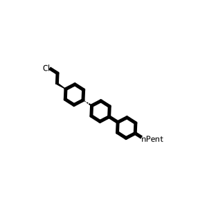 CCCCCC1CCC(C2CCC([C@H]3CC[C@H](CCCl)CC3)CC2)CC1